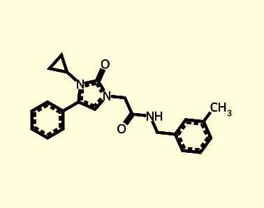 Cc1cccc(CNC(=O)Cn2cc(-c3ccccc3)n(C3CC3)c2=O)c1